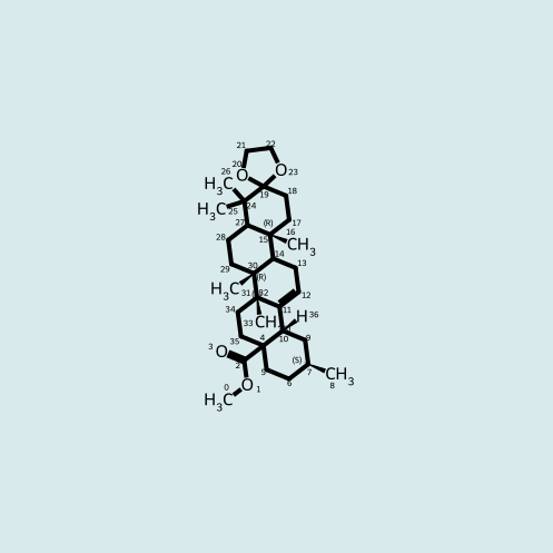 COC(=O)C12CC[C@H](C)C[C@H]1C1=CCC3[C@@]4(C)CCC5(OCCO5)C(C)(C)C4CC[C@@]3(C)[C@@]1(C)CC2